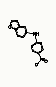 O=[N+]([O-])c1ccc(Nc2ccc3occc3c2)cc1